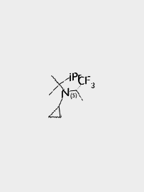 CC(C)C(C)(C)N(C1CC1)[C@@H](C)C(F)(F)F